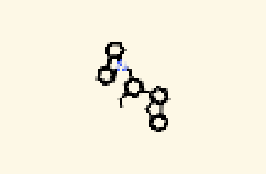 CCc1cc(Cn2c3ccccc3c3ccccc32)cc(-c2cccc3c2Cc2ccccc2-3)c1